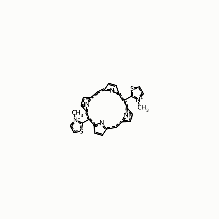 C[n+]1ccsc1-c1c2nc(cc3ccc([nH]3)c(-c3scc[n+]3C)c3nc(cc4ccc1[nH]4)C=C3)C=C2